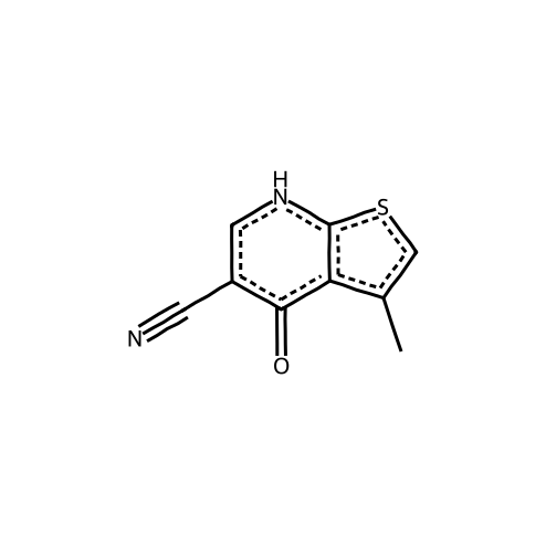 Cc1csc2[nH]cc(C#N)c(=O)c12